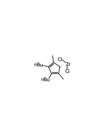 CCCCC1=C(C)[CH]C(C)=C1CCCC.[Cl][Zr][Cl]